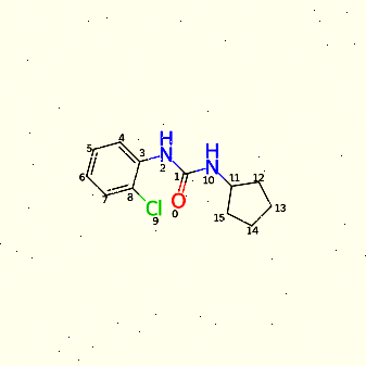 O=C(Nc1ccccc1Cl)NC1CCCC1